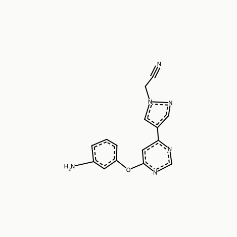 N#CCn1cc(-c2cc(Oc3cccc(N)c3)ncn2)cn1